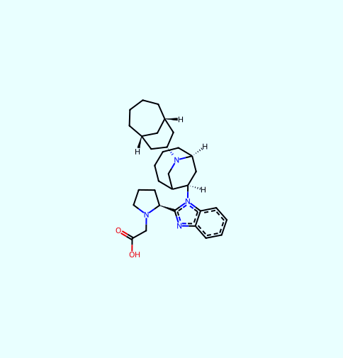 O=C(O)CN1CCC[C@H]1c1nc2ccccc2n1[C@@H]1C[C@@H]2CCCCC1CN2[C@@H]1C[C@@H]2CCCC[C@@H](C2)C1